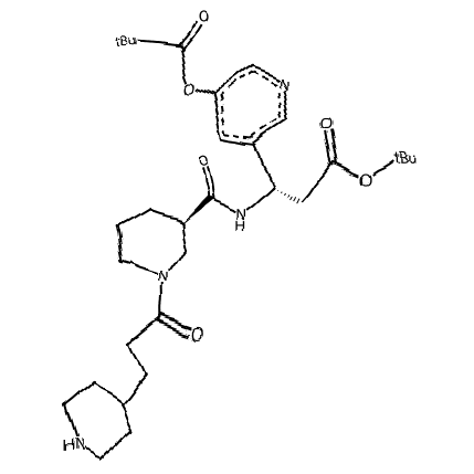 CC(C)(C)OC(=O)C[C@H](NC(=O)[C@@H]1CCCN(C(=O)CCC2CCNCC2)C1)c1cncc(OC(=O)C(C)(C)C)c1